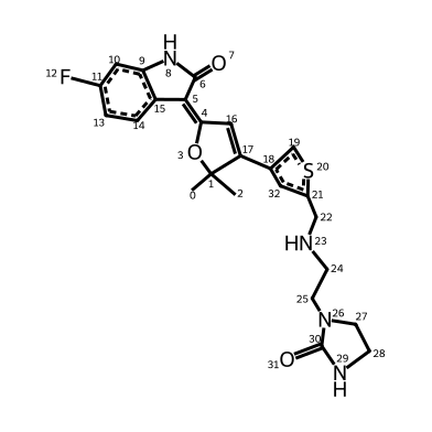 CC1(C)O/C(=C2/C(=O)Nc3cc(F)ccc32)C=C1c1csc(CNCCN2CCNC2=O)c1